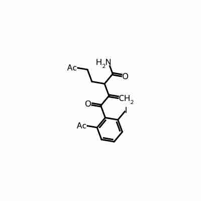 C=C(C(=O)c1c(I)cccc1C(C)=O)C(CCC(C)=O)C(N)=O